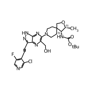 C[C@@H]1OCC2(CCN(c3nc4[nH]nc(C#Cc5c(F)cncc5Cl)c4nc3CO)CC2)[C@@H]1NC(=O)OC(C)(C)C